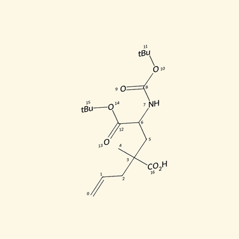 C=CCC(C)(CC(NC(=O)OC(C)(C)C)C(=O)OC(C)(C)C)C(=O)O